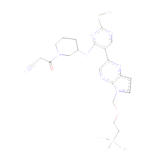 CSc1ncc(-c2cnc3c(ccn3COCC[Si](C)(C)C)n2)c(NC2CCCN(C(=O)CC#N)C2)n1